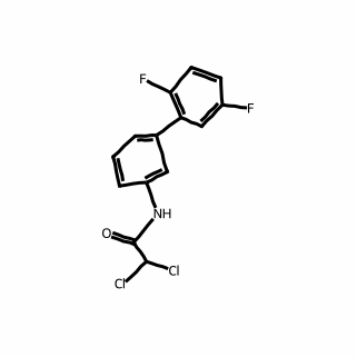 O=C(Nc1cccc(-c2cc(F)ccc2F)c1)C(Cl)Cl